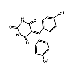 O=C1NC(=O)C(=C(c2ccc(O)cc2)c2ccc(O)cc2)C(=O)N1